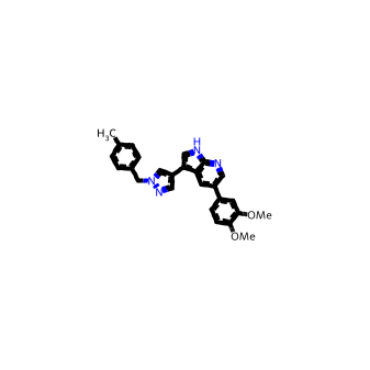 COc1ccc(-c2cnc3[nH]cc(-c4cnn(Cc5ccc(C)cc5)c4)c3c2)cc1OC